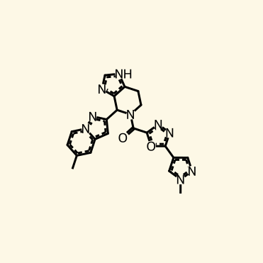 Cc1ccn2nc(C3c4nc[nH]c4CCN3C(=O)c3nnc(-c4cnn(C)c4)o3)cc2c1